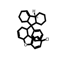 Clc1ccc2c(c1)C1C(C=CCC1C1(c3ccccc3)C3CCCC=C3[C@@H]3CCCCC31)O2